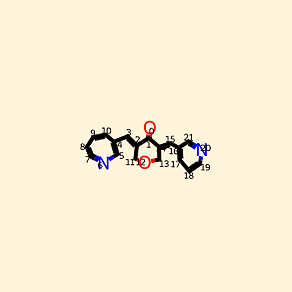 O=C1/C(=C/C2=CN=C=CC=C2)COC/C1=C\c1cccnc1